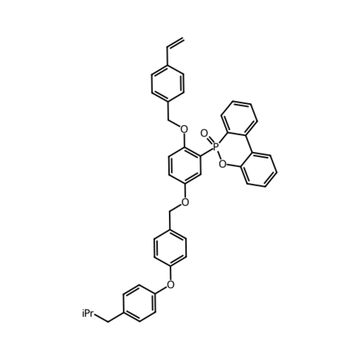 C=Cc1ccc(COc2ccc(OCc3ccc(Oc4ccc(CC(C)C)cc4)cc3)cc2P2(=O)Oc3ccccc3-c3ccccc32)cc1